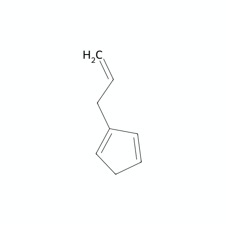 C=CCC1=CCC=C1